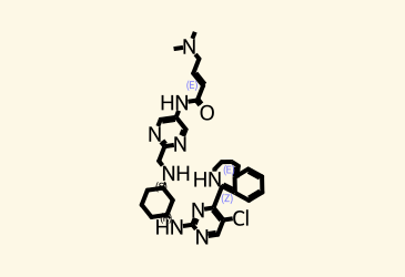 CN(C)C/C=C/C(=O)Nc1cnc(CN[C@H]2CCC[C@@H](Nc3ncc(Cl)c(/C4=c5\cccc\c5=C/CCCN4)n3)C2)nc1